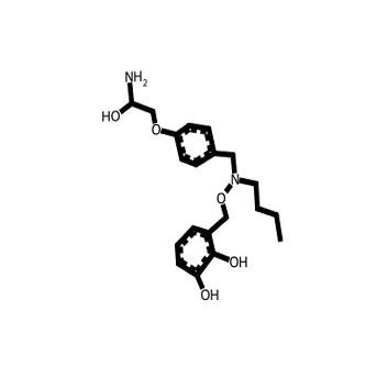 CCCCN(Cc1ccc(OCC(N)O)cc1)OCc1cccc(O)c1O